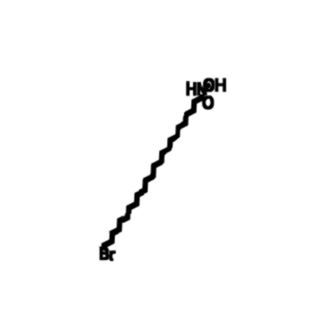 O=C(CCCCCCCCCCCCCCCCCCCCCCCBr)NO